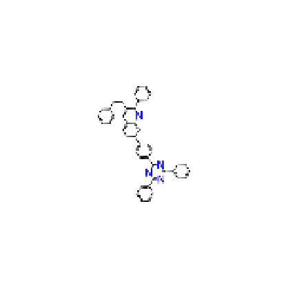 c1ccc(-c2nc(-c3ccccc3)nc(-c3ccc(-c4ccc5c(c4)nc(-c4ccccc4)c4ccc6ccccc6c45)cc3)n2)cc1